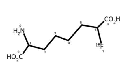 NC(CCCCC([18F])C(=O)O)C(=O)O